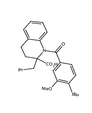 COc1cc(C(=O)N2c3ccccc3CCC2(CC(C)C)C(=O)O)ccc1C(C)(C)C